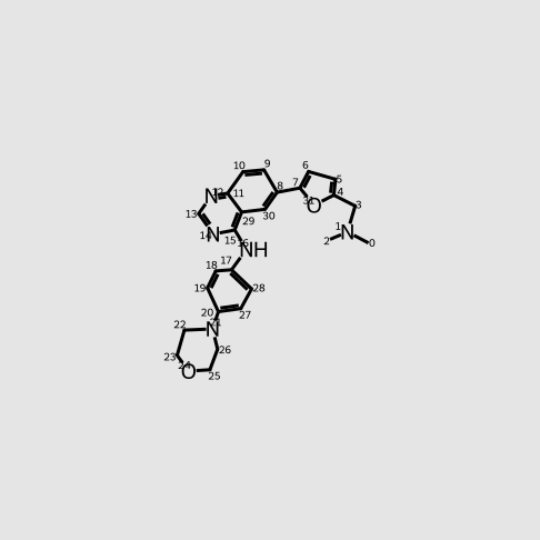 CN(C)Cc1ccc(-c2ccc3ncnc(Nc4ccc(N5CCOCC5)cc4)c3c2)o1